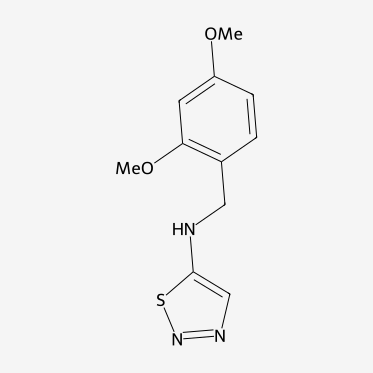 COc1ccc(CNc2cnns2)c(OC)c1